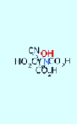 N#CCC[C@]1(C(=O)O)C[C@@H](C(=O)O)N(C(=O)O)C1O